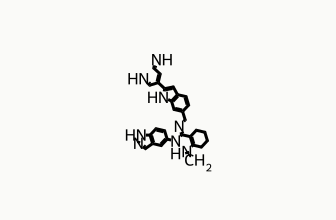 C=NC1=C(/C(=N\Cc2ccc3cc(/C(C=N)=C/C=N)[nH]c3c2)Nc2ccc3[nH]ncc3c2)CCCC1